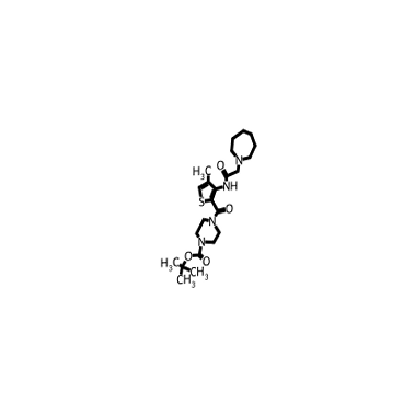 Cc1csc(C(=O)N2CCN(C(=O)OC(C)(C)C)CC2)c1NC(=O)CN1CCCCCC1